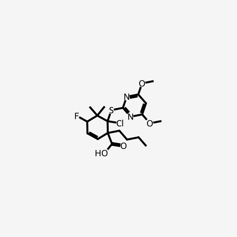 CCCCC1(C(=O)O)C=CC(F)C(C)(C)C1(Cl)Sc1nc(OC)cc(OC)n1